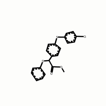 COC(=O)C(Oc1ccccc1)c1ccc(Sc2ccc(Cl)cc2)cc1